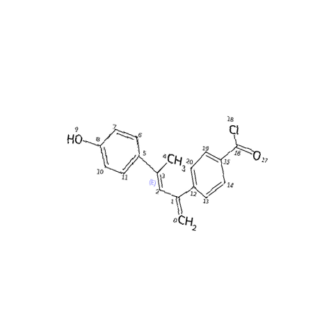 C=C(/C=C(\C)c1ccc(O)cc1)c1ccc(C(=O)Cl)cc1